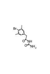 Cc1cc(CC(=O)NC(N)=O)cc(C)c1Br